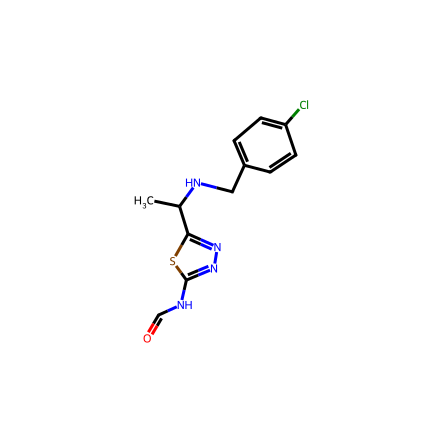 CC(NCc1ccc(Cl)cc1)c1nnc(NC=O)s1